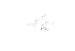 COC1C(OS(=O)(=O)O)[C@H](OO)[C@H](OOO)C(OP(=O)(O)O)[C@@H]1OS(=O)(=O)O